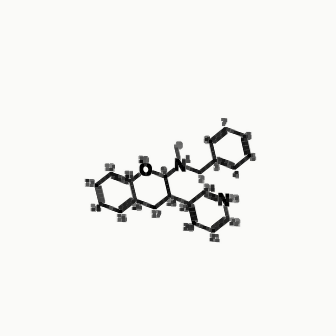 CN(Cc1ccccc1)C1Oc2ccccc2CC1c1cccnc1